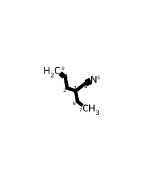 C=CCC(C#N)CC